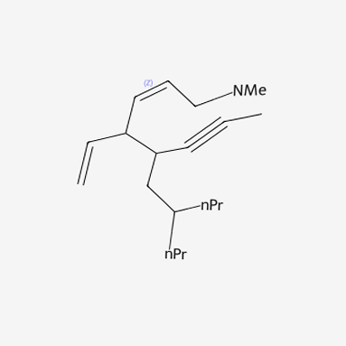 C=CC(/C=C\CNC)C(C#CC)CC(CCC)CCC